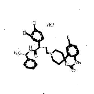 C[C@H](NC(=O)[C@@H](CCN1CCC2(CC1)OC(=O)Nc1ccc(F)cc12)c1ccc(Cl)c(Cl)c1)c1ccccc1.Cl